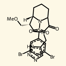 COC[C@H]1CN(Cc2cnn[nH]2)C(=O)C2CCC[C@@H]1N2S(=O)(=O)c1cc(Br)cc(Br)c1